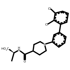 C[C@H](NC(=O)C1CCN(c2cccc(-c3cccc(Cl)c3Cl)c2)CC1)C(=O)O